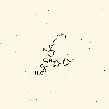 CCCCCOc1ccc(N(C(=O)CC(=O)OC)c2nc(-c3ccc(F)cc3)cs2)cc1F